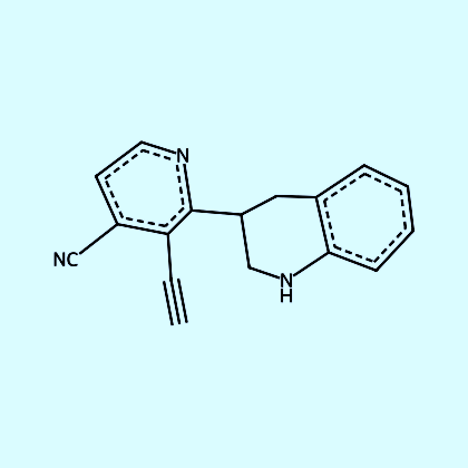 C#Cc1c(C#N)ccnc1C1CNc2ccccc2C1